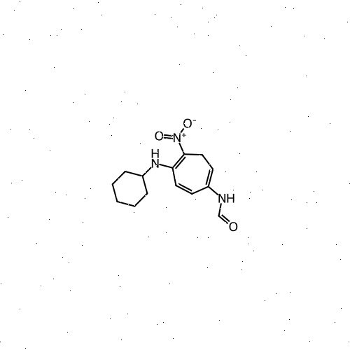 O=CNC1=CCC([N+](=O)[O-])=C(NC2CCCCC2)C=C1